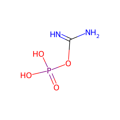 N=C(N)OP(=O)(O)O